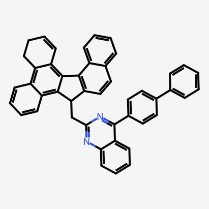 C1=Cc2c3c(c4ccccc4c2CC1)C(Cc1nc(-c2ccc(-c4ccccc4)cc2)c2ccccc2n1)c1ccc2ccccc2c1-3